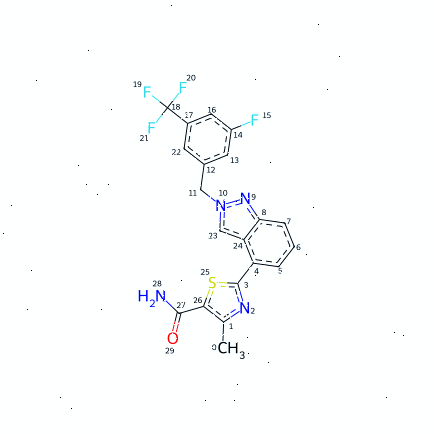 Cc1nc(-c2cccc3nn(Cc4cc(F)cc(C(F)(F)F)c4)cc23)sc1C(N)=O